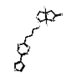 O=C1C[C@H]2CS[C@@H](CCCCc3nnc(-c4ccoc4)nn3)[C@H]2N1